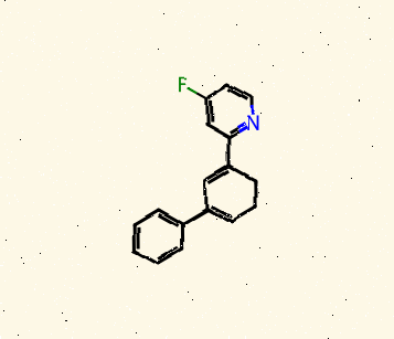 Fc1ccnc(C2=CC(c3ccccc3)=CCC2)c1